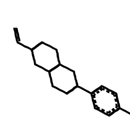 C=CC1CCC2CC(c3ccc(F)cc3)CCC2C1